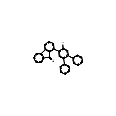 O=C1c2ccccc2-c2cccc(-c3cc(-c4ccccc4)c(-c4ccccc4)cc3Cl)c21